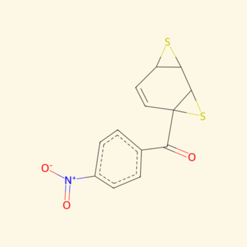 O=C(c1ccc([N+](=O)[O-])cc1)C12C=CC3SC3C1S2